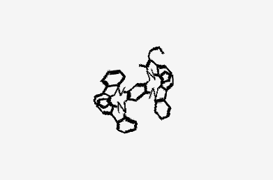 C/C=C\c1c(C)n(-c2cc(-n3c4ccccc4c4ccccc43)c(-n3c4ccccc4c4ccccc43)cc2-n2c3c(c4ccccc42)C=CCC3)c2ccccc12